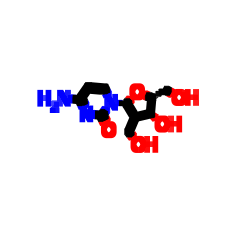 Nc1ccn([C@@H]2O[C@H](CO)[C@@H](O)C2CO)c(=O)n1